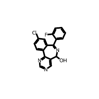 OC1N=C(c2ccccc2F)c2cc(Cl)ccc2-c2ncncc21